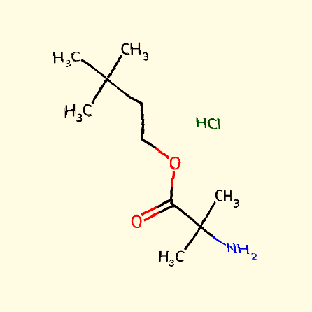 CC(C)(C)CCOC(=O)C(C)(C)N.Cl